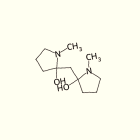 CN1CCCC1(O)CC1(O)CCCN1C